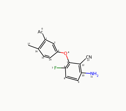 CC(=O)c1cc(Oc2c(F)ccc(N)c2C#N)ccc1C